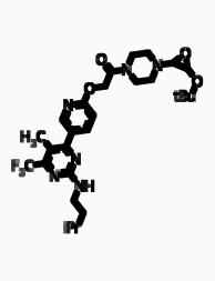 Cc1c(-c2ccc(OCC(=O)N3CCN(C4OC4OC(C)(C)C)CC3)nc2)nc(NCCC(C)C)nc1C(F)(F)F